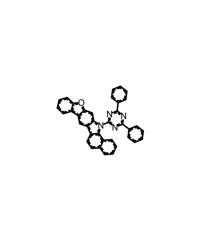 c1ccc(-c2nc(-c3ccccc3)nc(-n3c4cc5oc6ccccc6c5cc4c4ccc5ccccc5c43)n2)cc1